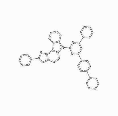 c1ccc(-c2ccc(-c3cc(-c4ccccc4)nc(-n4c5ccccc5c5c6sc(-c7ccccc7)cc6ccc54)n3)cc2)cc1